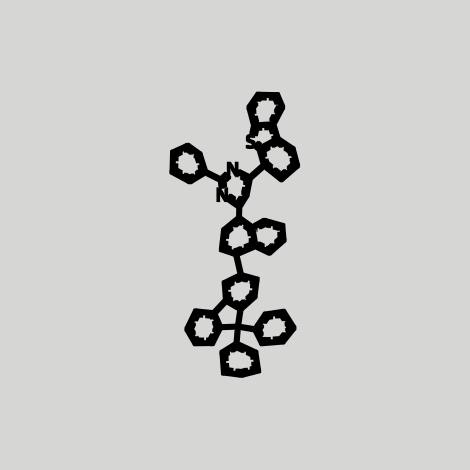 c1ccc(-c2nc(-c3ccc(-c4ccc5c(c4)-c4ccccc4C5(c4ccccc4)c4ccccc4)c4ccccc34)cc(-c3cccc4c3sc3ccccc34)n2)cc1